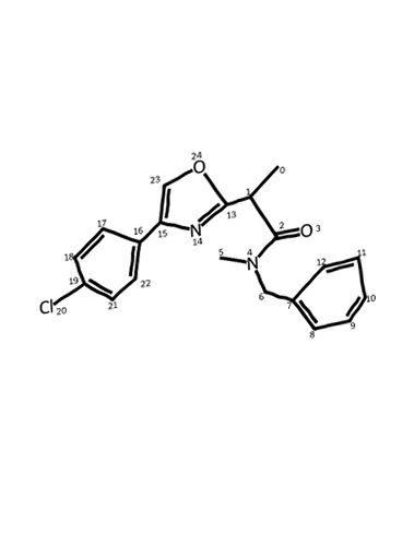 CC(C(=O)N(C)Cc1ccccc1)c1nc(-c2ccc(Cl)cc2)co1